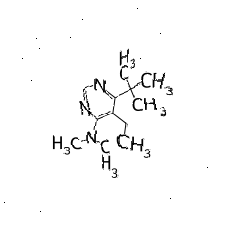 CCc1c(N(C)C)ncnc1C(C)(C)C